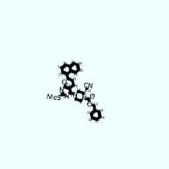 CSc1nc2c(c(N3CCN(C(=O)OCc4ccccc4)[C@@H](CC#N)C3)n1)CCC(c1cccc3ccccc13)O2